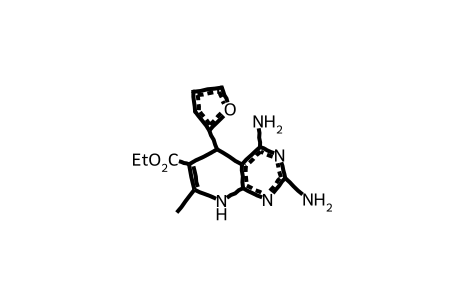 CCOC(=O)C1=C(C)Nc2nc(N)nc(N)c2C1c1ccco1